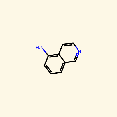 Nc1cccc2[c]nccc12